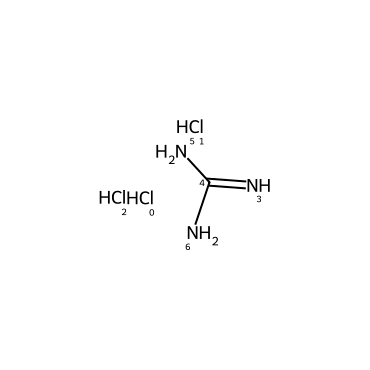 Cl.Cl.Cl.N=C(N)N